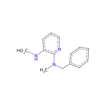 CN(Cc1ccccc1)c1ncccc1NC(=O)O